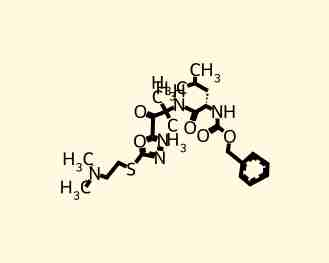 CC(C)C[C@H](NC(=O)OCc1ccccc1)C(=O)NC(C)(C)C(=O)c1nnc(SCCN(C)C)o1